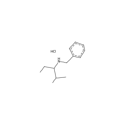 CCC(NCc1ccccc1)C(C)C.Cl